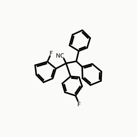 N#CC(c1ccc(F)cc1)(c1ccccc1F)C(c1ccccc1)c1ccccc1